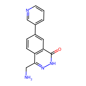 NCc1n[nH]c(=O)c2cc(-c3cccnc3)ccc12